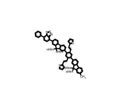 CCCCCCC1(CCCCCC)c2cc(C)ccc2-c2ccc(-c3cc(/C=C/c4cccs4)c(-c4ccc5c(c4)C(CCCCCC)(CCCCCC)c4cc(-c6ccc(-c7ccccc7)c7nsnc67)ccc4-5)cc3/C=C/c3cccs3)cc21